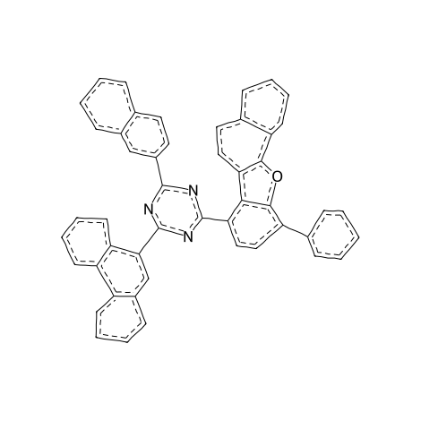 c1ccc(-c2ccc(-c3nc(-c4ccc5ccccc5c4)nc(-c4cc5ccccc5c5ccccc45)n3)c3c2oc2c4ccccc4ccc23)cc1